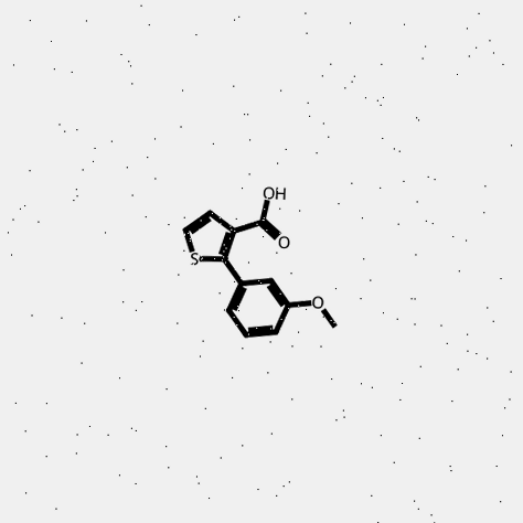 COc1cccc(-c2sccc2C(=O)O)c1